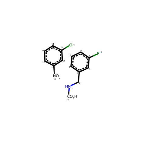 O=C(O)NCc1cccc(F)c1.O=[N+]([O-])c1cccc(Cl)c1